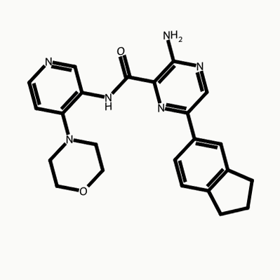 Nc1ncc(-c2ccc3c(c2)CCC3)nc1C(=O)Nc1cnccc1N1CCOCC1